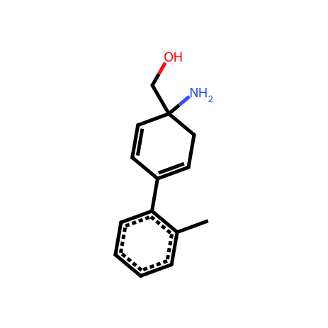 Cc1ccccc1C1=CCC(N)(CO)C=C1